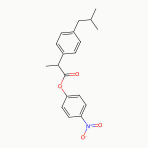 CC(C)Cc1ccc(C(C)C(=O)Oc2ccc([N+](=O)[O-])cc2)cc1